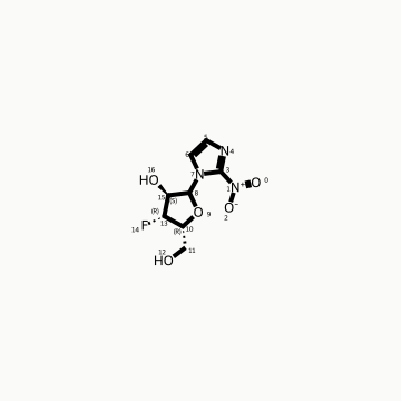 O=[N+]([O-])c1nccn1C1O[C@H](CO)[C@H](F)[C@H]1O